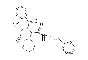 C#CCN(C(=O)c1ccccc1C(F)(F)F)C(C(=O)NCCCc1ccccc1)C1CCCCC1